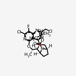 C[C@@H]1Oc2nc(Cl)c(F)c3nc(CCl)nc(c23)N2C[C@H]3CC[C@@H]([C@@H]12)N3C(=O)OC(C)(C)C